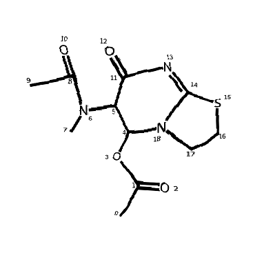 CC(=O)OC1C(N(C)C(C)=O)C(=O)N=C2SCCN21